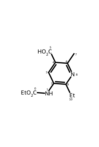 CCOC(=O)Nc1cc(C(=O)O)c(C)nc1CC